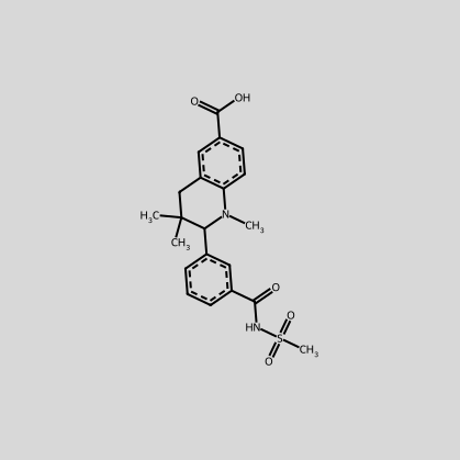 CN1c2ccc(C(=O)O)cc2CC(C)(C)C1c1cccc(C(=O)NS(C)(=O)=O)c1